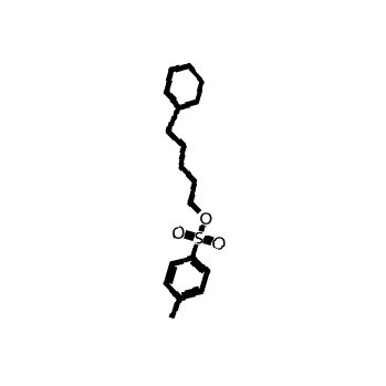 Cc1ccc(S(=O)(=O)OCCCCCC2CCCCC2)cc1